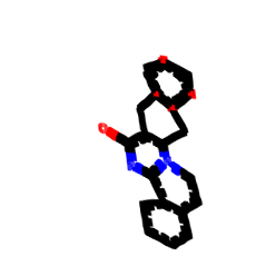 O=c1nc2c3ccccc3ccn2c2c1C1c3ccccc3C2c2ccccc21